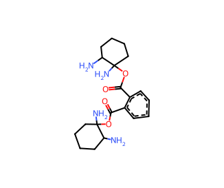 NC1CCCCC1(N)OC(=O)c1ccccc1C(=O)OC1(N)CCCCC1N